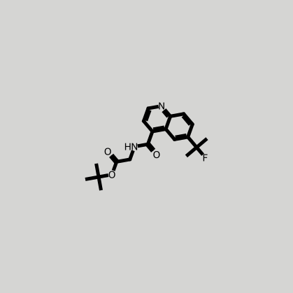 CC(C)(C)OC(=O)CNC(=O)c1ccnc2ccc(C(C)(C)F)cc12